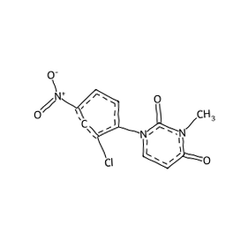 Cn1c(=O)ccn(-c2ccc([N+](=O)[O-])cc2Cl)c1=O